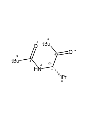 CC(C)[C@H](NC(=O)C(C)(C)C)C(=O)C(C)(C)C